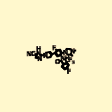 CC1CN(c2cc(F)c(C3=CCN(c4ncc(C#N)[nH]4)CC3)cc2NC(=O)c2ccc(F)cc2C(F)(F)F)CCN1C